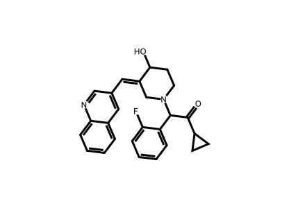 O=C(C1CC1)C(c1ccccc1F)N1CCC(O)C(=Cc2cnc3ccccc3c2)C1